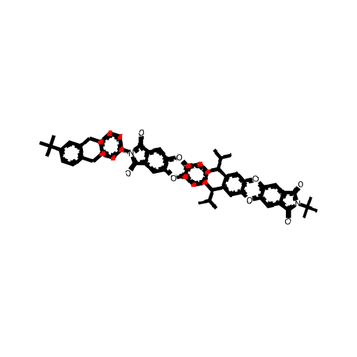 CC(C)C12c3ccccc3C(C(C)C)(c3cc4oc5cc6c(=O)n(-c7ccc8c(c7)C7c9ccccc9C8c8cc(C(C)(C)C)ccc87)c(=O)c6cc5oc4cc31)c1cc3oc4cc5c(=O)n(C(C)(C)C)c(=O)c5cc4oc3cc12